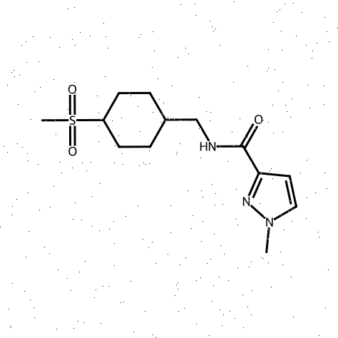 Cn1ccc(C(=O)NCC2CCC(S(C)(=O)=O)CC2)n1